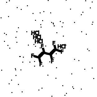 Cl.Cl.Cl.Cl.FC(F)=C(F)C(F)=C(F)F